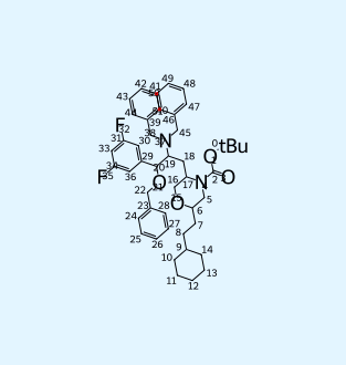 CC(C)(C)OC(=O)N1CC(CCC2CCCCC2)OCC1CC(C(OCc1ccccc1)c1cc(F)cc(F)c1)N(Cc1ccccc1)Cc1ccccc1